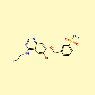 CS(=O)(=O)c1cccc(COc2cc3ncnc(NCCI)c3cc2Br)c1